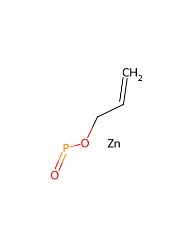 C=CCOP=O.[Zn]